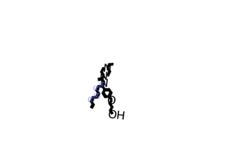 C=C\C=C/C=C\C=C/C(=N\C(=C)N1CCN(CC)CC1)c1ccc(OCCCO)cc1